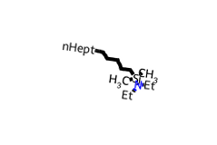 CCCCCCCCCCCC[Si](C)(C)N(CC)CC